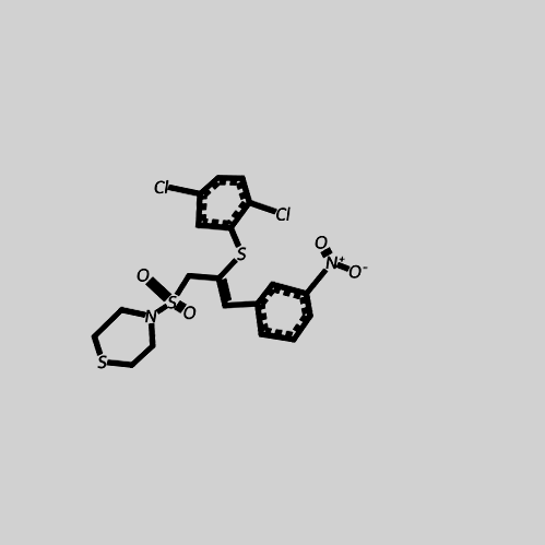 O=[N+]([O-])c1cccc(C=C(CS(=O)(=O)N2CCSCC2)Sc2cc(Cl)ccc2Cl)c1